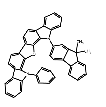 CC1(C)c2ccccc2-c2ccc(-n3c4ccccc4c4ccc5c6ccc7c8ccccc8n(-c8ccccc8)c7c6oc5c43)cc21